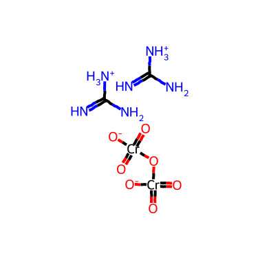 N=C(N)[NH3+].N=C(N)[NH3+].[O]=[Cr](=[O])([O-])[O][Cr](=[O])(=[O])[O-]